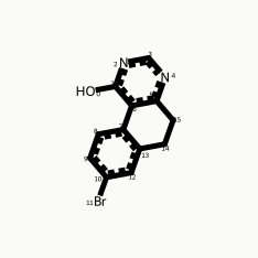 Oc1ncnc2c1-c1ccc(Br)cc1CC2